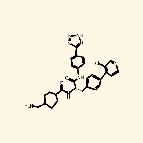 NCC1CCC(C(=O)N[C@@H](Cc2ccc(-c3ccncc3Cl)cc2)C(=O)Nc2ccc(-c3nn[nH]n3)cc2)CC1